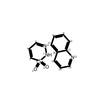 O=S1(=O)C=CC=NN1.c1ccc2ncccc2c1